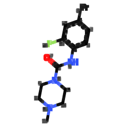 CC(C)c1ccc(NC(=O)N2CCN(C)CC2)c(F)c1